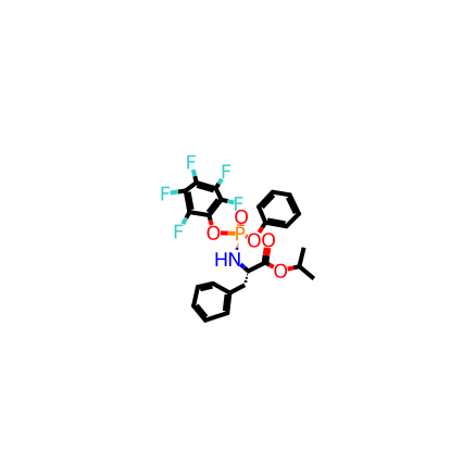 CC(C)OC(=O)[C@H](Cc1ccccc1)N[P@](=O)(Oc1ccccc1)Oc1c(F)c(F)c(F)c(F)c1F